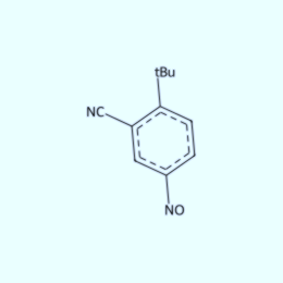 CC(C)(C)c1ccc(N=O)cc1C#N